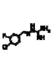 N=C(N)NN=Cc1ccc(Cl)c(F)c1